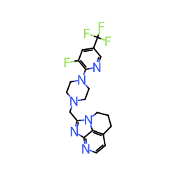 Fc1cc(C(F)(F)F)cnc1N1CCN(Cc2nc3nccc4c3n2CCC4)CC1